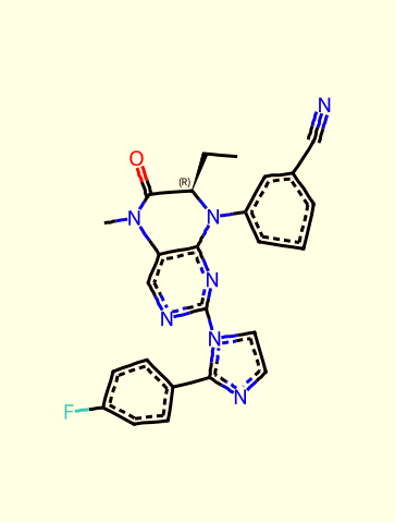 CC[C@@H]1C(=O)N(C)c2cnc(-n3ccnc3-c3ccc(F)cc3)nc2N1c1cccc(C#N)c1